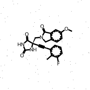 COc1ccc2c(c1)C(=O)N(C[C@@]1(C#Cc3cccc(F)c3C)NC(=O)NC1=O)C2